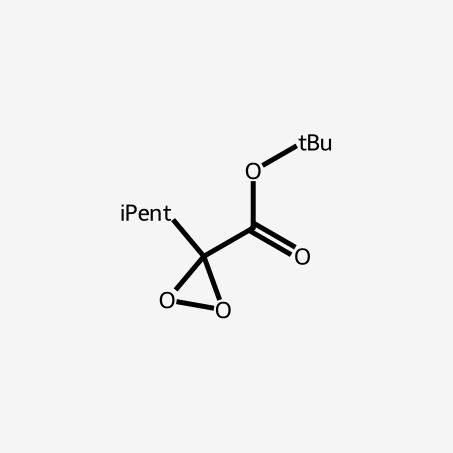 CCCC(C)C1(C(=O)OC(C)(C)C)OO1